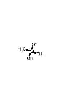 C[N+](C)([O-])O